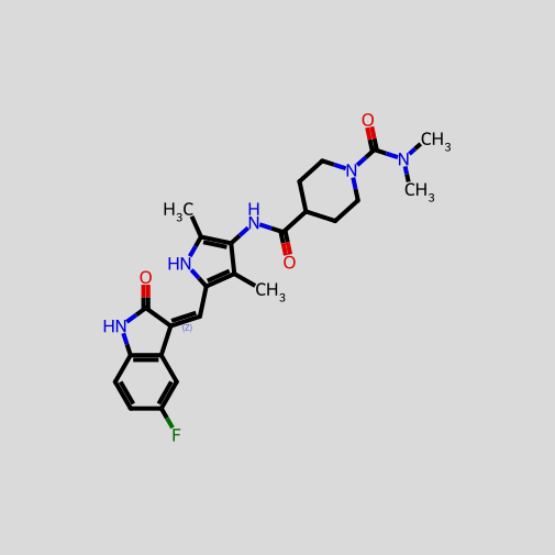 Cc1[nH]c(/C=C2\C(=O)Nc3ccc(F)cc32)c(C)c1NC(=O)C1CCN(C(=O)N(C)C)CC1